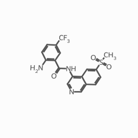 CS(=O)(=O)c1ccc2cncc(NC(=O)c3cc(C(F)(F)F)ccc3N)c2c1